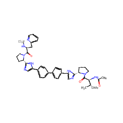 COC(=O)N[C@H](C(=O)N1CCC[C@H]1c1ncc(-c2ccc(-c3ccc(-c4cnc([C@@H]5CCCN5C(=O)[C@H](Cc5ccccn5)NC(=O)O)[nH]4)cc3)cc2)[nH]1)[C@@H](C)OC